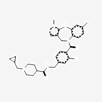 Cc1ccc2c(c1)Nc1c(cnn1C)CN2C(=O)c1ccc(CNC(=O)C2CCN(CC3CC3)CC2)cc1Cl